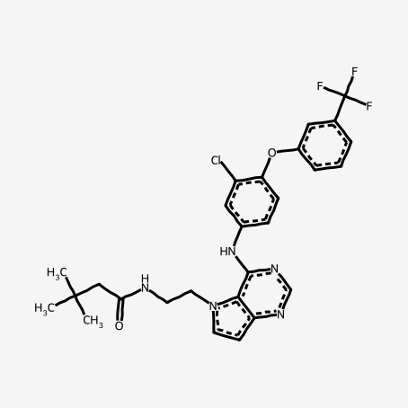 CC(C)(C)CC(=O)NCCn1ccc2ncnc(Nc3ccc(Oc4cccc(C(F)(F)F)c4)c(Cl)c3)c21